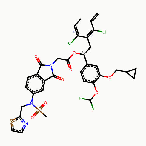 C=C/C(Cl)=C(C[C@H](OC(=O)CN1C(=O)c2ccc(N(Cc3nccs3)S(C)(=O)=O)cc2C1=O)c1ccc(OC(F)F)c(OCC2CC2)c1)\C(Cl)=C/C